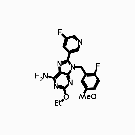 CCOc1nc(N)c2nc(-c3cncc(F)c3)n(Cc3cc(OC)ccc3F)c2n1